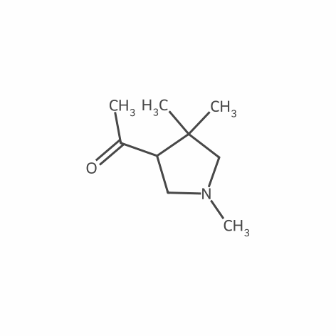 CC(=O)C1CN(C)CC1(C)C